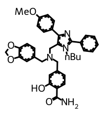 CCCCn1c(-c2ccccc2)nc(-c2ccc(OC)cc2)c1CN(Cc1ccc(C(N)=O)c(O)c1)Cc1ccc2c(c1)OCO2